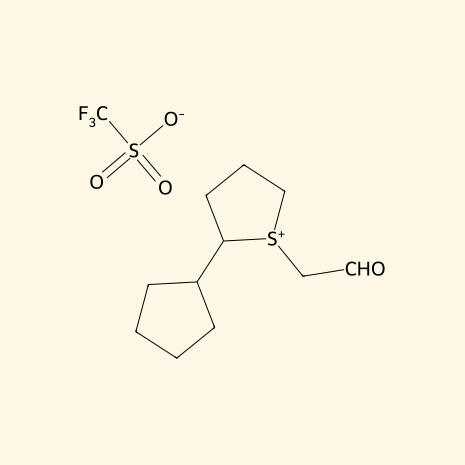 O=CC[S+]1CCCC1C1CCCC1.O=S(=O)([O-])C(F)(F)F